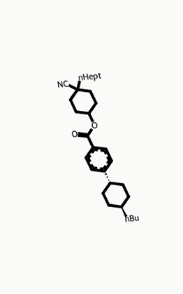 CCCCCCCC1(C#N)CCC(OC(=O)c2ccc([C@H]3CC[C@H](CCCC)CC3)cc2)CC1